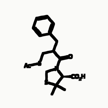 CC(=O)SCC(Cc1ccccc1)C(=O)N1CSC(C)(C)[C@@H]1C(=O)O